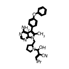 Cc1c(-c2ccc(Oc3ccccc3)cc2)c2c(N)ncnc2n1CC1CCCN1C(O)C(C#N)=CC(C)C